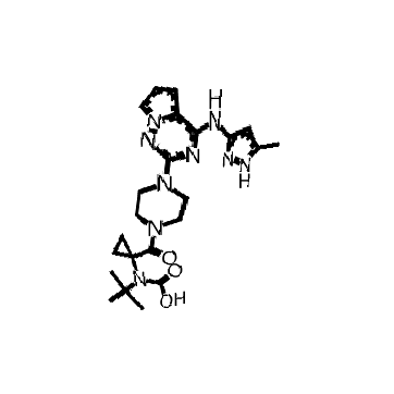 Cc1cc(Nc2nc(N3CCN(C(=O)C4(N(C(=O)O)C(C)(C)C)CC4)CC3)nn3cccc23)n[nH]1